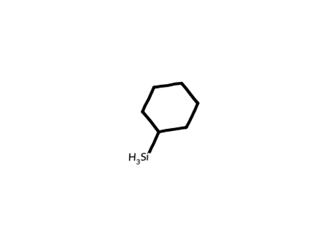 [SiH3][C]1CCCCC1